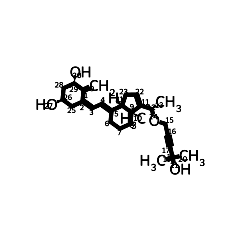 C=C1C(=CC=C2CCC[C@]3(C)C([C@@H](C)OCC#CC(C)(C)O)=CC[C@@H]23)C[C@@H](O)C[C@@H]1O